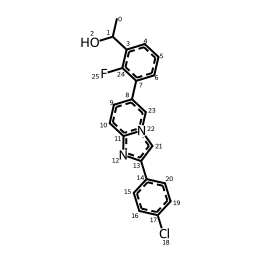 CC(O)c1cccc(-c2ccc3nc(-c4ccc(Cl)cc4)cn3c2)c1F